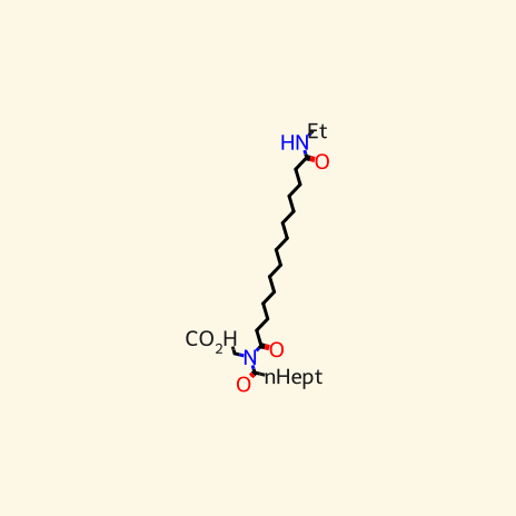 CCCCCCCC(=O)N(CC(=O)O)C(=O)CCCCCCCCCCCCCC(=O)NCC